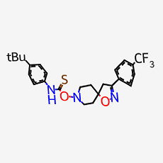 CC(C)(C)c1ccc(NC(=S)ON2CCC3(CC2)CC(c2ccc(C(F)(F)F)cc2)=NO3)cc1